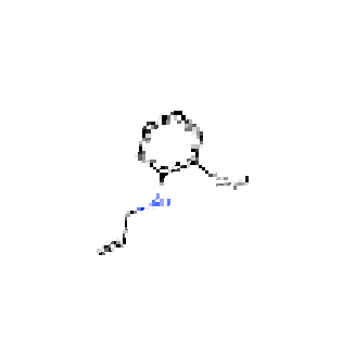 C=CCNc1ccccc1C(=O)OCC